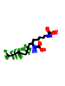 O=C(O)NCCCCCC(CC(F)(F)C(F)(F)CC(F)(F)C(F)(F)C(F)(F)C(F)F)NC(=O)O